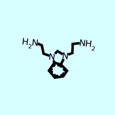 NCCN1CN(CCN)c2ccccc21